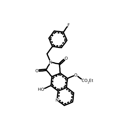 CCOC(=O)Oc1c2c(c(O)c3ncccc13)C(=O)N(Cc1ccc(F)cc1)C2=O